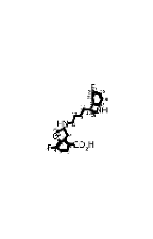 O=C(O)c1ccc(F)c2c1C[C@@H](NCCCCc1c[nH]c3ccc(F)cc13)CO2